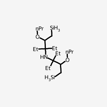 CCCOC(C[SiH3])C(CC)(CC)NC(CC)(CC)C(C[SiH3])OCCC